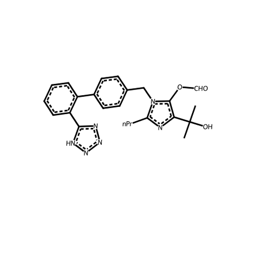 CCCc1nc(C(C)(C)O)c(OC=O)n1Cc1ccc(-c2ccccc2-c2nnn[nH]2)cc1